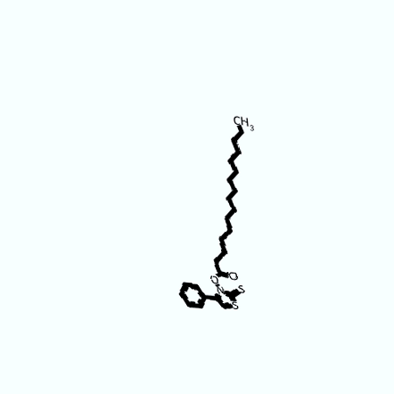 CCCCCCCCCCCCCCCC(=O)On1c(-c2ccccc2)csc1=S